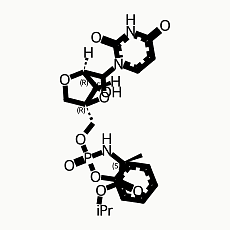 CC(C)OC(=O)[C@H](C)NP(=O)(OC[C@@]12CO[C@@H](C(n3ccc(=O)[nH]c3=O)O1)[C@@H]2O)Oc1ccccc1